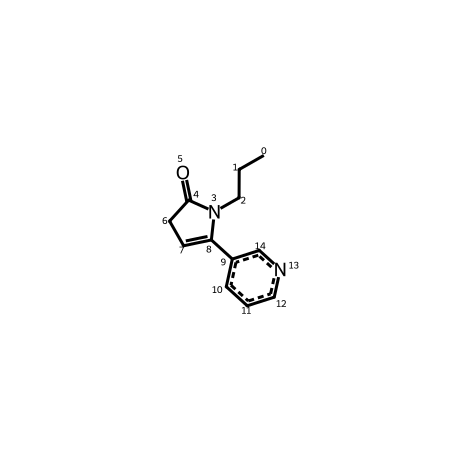 CCCN1C(=O)CC=C1c1cccnc1